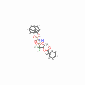 CC1(C(=O)OC(C(F)(F)F)C(F)(F)S(=O)(=O)NS(=O)(=O)OC2C3CC4CC(C3)CC2C4)CCCCC1